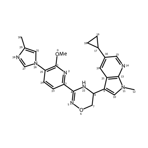 COc1nc(C2=NOCC(c3cn(C)c4ncc(C5CC5)cc34)N2)ccc1-n1cnc(C)c1